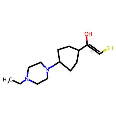 CCN1CCN(C2CCC(/C(O)=C/S)CC2)CC1